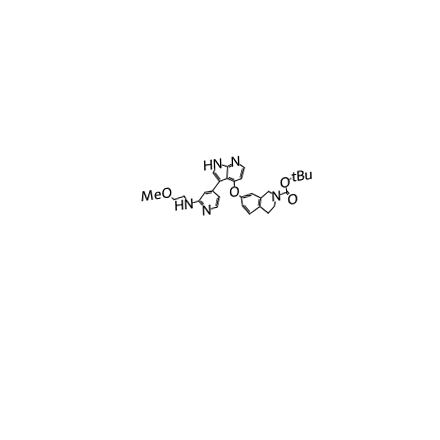 COCCNc1cc(-c2c[nH]c3nccc(Oc4ccc5c(c4)CN(C(=O)OC(C)(C)C)CC5)c23)ccn1